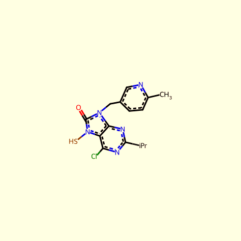 Cc1ccc(Cn2c(=O)n(S)c3c(Cl)nc(C(C)C)nc32)cn1